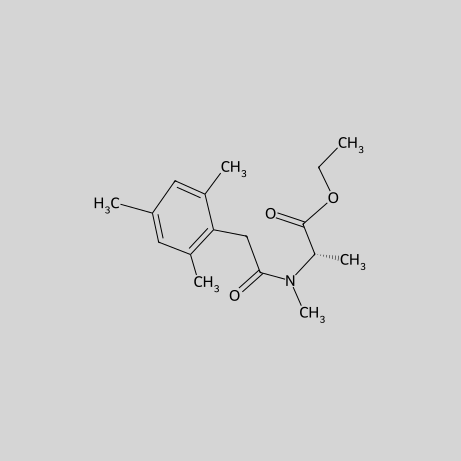 CCOC(=O)[C@H](C)N(C)C(=O)Cc1c(C)cc(C)cc1C